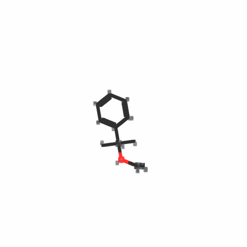 C[Si](C)(O[SiH3])c1ccccc1